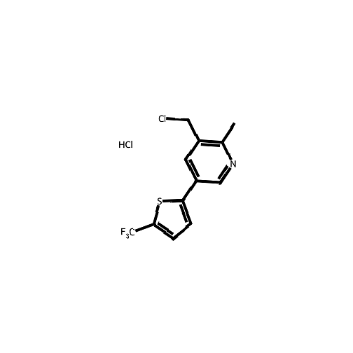 Cc1ncc(-c2ccc(C(F)(F)F)s2)cc1CCl.Cl